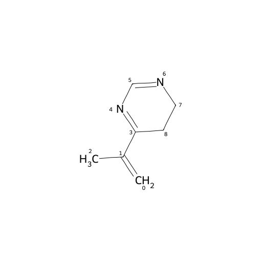 C=C(C)C1=NC=NCC1